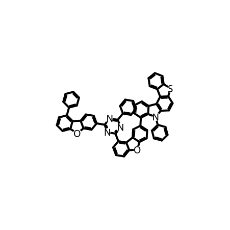 c1ccc(-c2nc(-c3ccc4c(c3)oc3cccc(-c5ccccc5)c34)nc(-c3cccc4oc5ccc(-c6cccc7c8c9c(ccc8n(-c8ccccc8)c67)sc6ccccc69)cc5c34)n2)cc1